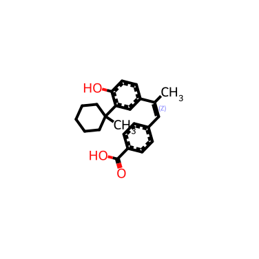 C/C(=C/c1ccc(C(=O)O)cc1)c1ccc(O)c(C2(C)CCCCC2)c1